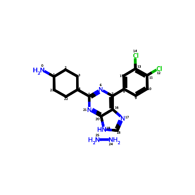 NC1CCC(c2nc(-c3ccc(Cl)c(Cl)c3)c3nc[nH]c3n2)CC1.NN